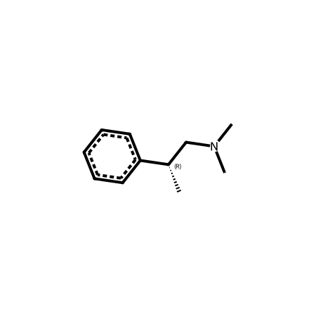 C[C@@H](CN(C)C)c1ccccc1